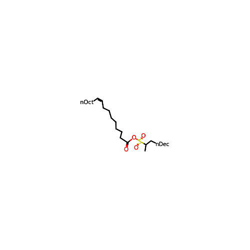 CCCCCCCC/C=C\CCCCCCCC(=O)OS(=O)(=O)C(C)CCCCCCCCCCC